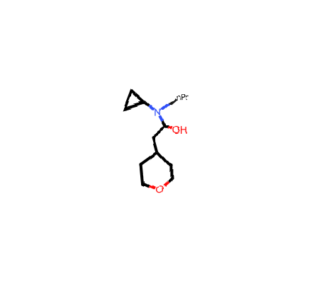 CCCN(C(O)CC1CCOCC1)C1CC1